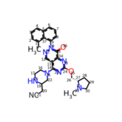 Cc1cccc2cccc(-n3ncc4c(N5CCNC(CC#N)C5)nc(OC[C@@H]5CCCN5C)nc4c3=O)c12